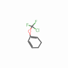 FC(F)(Cl)OC1=CCCC=C1